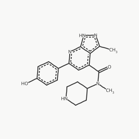 Cc1n[nH]c2nc(-c3ccc(O)cc3)cc(C(=O)N(C)C3CCNCC3)c12